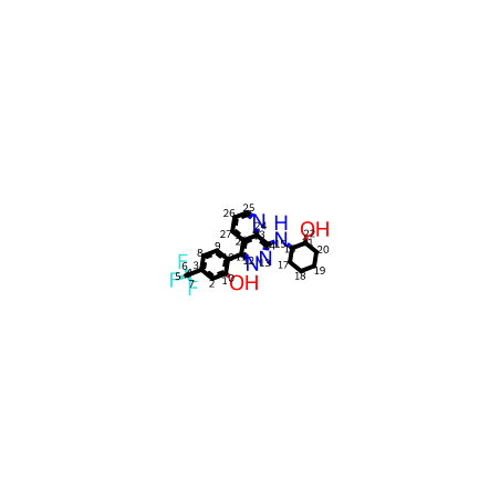 Oc1cc(C(F)(F)F)ccc1-c1nnc(NC2CCCCC2O)c2ncccc12